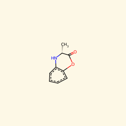 C[C@H]1Nc2ccccc2OC1=O